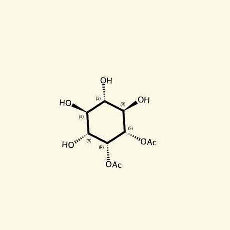 CC(=O)O[C@@H]1[C@H](O)[C@@H](O)[C@H](O)[C@@H](O)[C@@H]1OC(C)=O